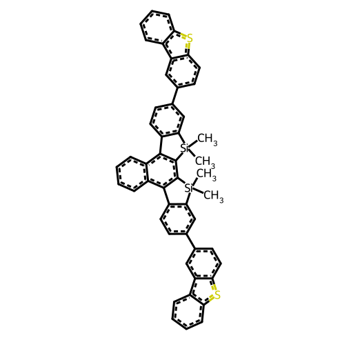 C[Si]1(C)c2cc(-c3ccc4sc5ccccc5c4c3)ccc2-c2c1c1c(c3ccccc23)-c2ccc(-c3ccc4sc5ccccc5c4c3)cc2[Si]1(C)C